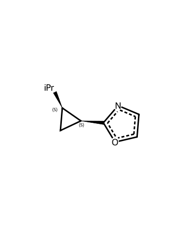 CC(C)[C@@H]1C[C@@H]1c1ncco1